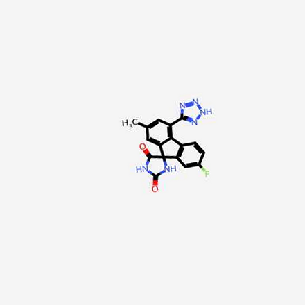 Cc1cc(-c2nn[nH]n2)c2c(c1)C1(NC(=O)NC1=O)c1cc(F)ccc1-2